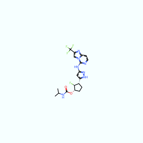 CC(C)NC(=O)O[C@H]1CC[C@@H](c2cc(Nc3nccc4nc(C(F)(F)F)cn34)n[nH]2)[C@@H]1F